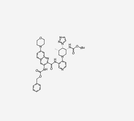 C[C@H]1CN(c2ccncc2NC(=O)c2nc3cc(N4CCOCC4)ccc3cc2NC(=O)OCc2ccccc2)C[C@@H](NC(=O)OC(C)(C)C)[C@H]1n1ccnn1